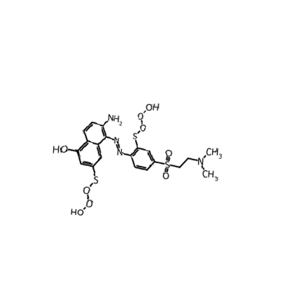 CN(C)CCS(=O)(=O)c1ccc(N=Nc2c(N)ccc3c(O)cc(SOOO)cc23)c(SOOO)c1